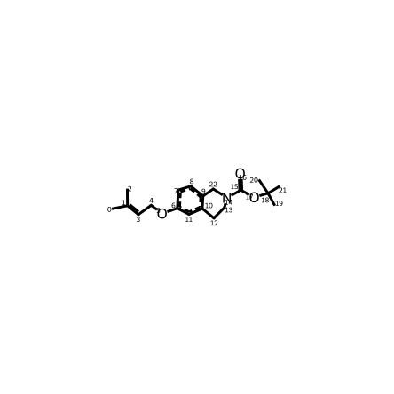 CC(C)=CCOc1ccc2c(c1)CCN(C(=O)OC(C)(C)C)C2